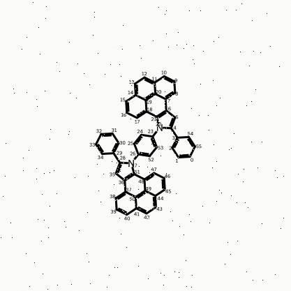 c1ccc(-c2cc3c4cccc5ccc6cccc(c6c54)c3n2-c2ccc(-n3c(-c4ccccc4)cc4c5cccc6ccc7cccc(c7c65)c43)cc2)cc1